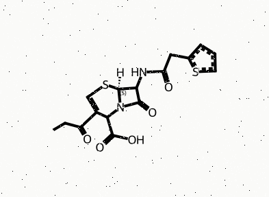 CCC(=O)C1=CS[C@H]2C(NC(=O)Cc3cccs3)C(=O)N2C1C(=O)O